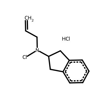 C=CCN(Cl)C1Cc2ccccc2C1.Cl